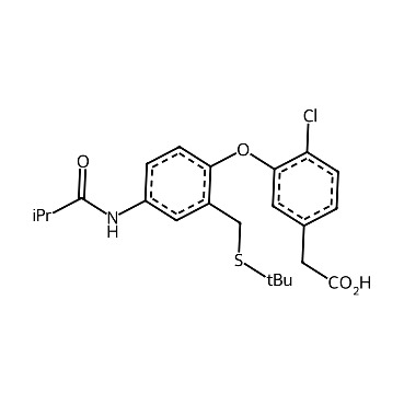 CC(C)C(=O)Nc1ccc(Oc2cc(CC(=O)O)ccc2Cl)c(CSC(C)(C)C)c1